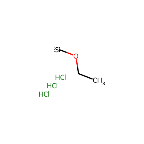 CCO[Si].Cl.Cl.Cl